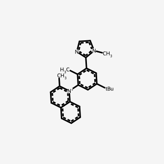 Cc1c(-c2nccn2C)cc(C(C)(C)C)cc1-[n+]1c(C)ccc2ccccc21